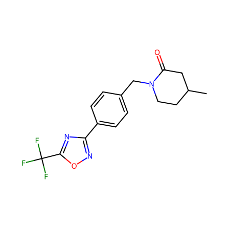 CC1CCN(Cc2ccc(-c3noc(C(F)(F)F)n3)cc2)C(=O)C1